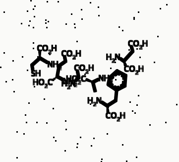 C[C@H](N)C(=O)O.NCC(=O)O.N[C@@H](CC(=O)O)C(=O)O.N[C@@H](CCC(=O)O)C(=O)O.N[C@@H](CS)C(=O)O.N[C@@H](Cc1ccccc1)C(=O)O